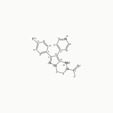 CC(=O)N1CCn2nc(-c3ccc(F)cc3)c(-c3ccncc3)c2N1